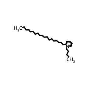 CCCCCCCCCCCCCCCCCCCc1cccc[n+]1CCCCC